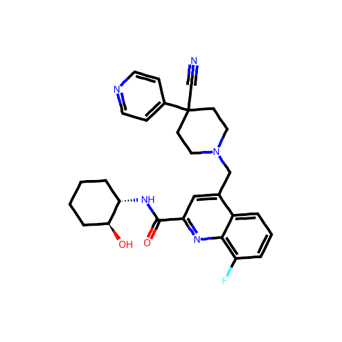 N#CC1(c2ccncc2)CCN(Cc2cc(C(=O)N[C@H]3CCCC[C@@H]3O)nc3c(F)cccc23)CC1